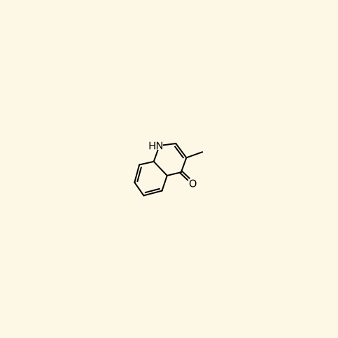 CC1=CNC2C=CC=CC2C1=O